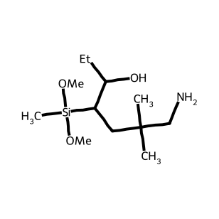 CCC(O)C(CC(C)(C)CN)[Si](C)(OC)OC